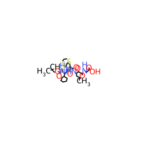 CCCC(NC(=O)[C@@H]1CC2(CN1C(=O)C(NC(=O)OCC(C)C)C1CCCCC1)SCCCS2)C(=O)C(=O)NCC(=O)O